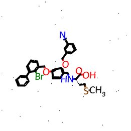 CSCC[C@H](NCc1ccc(OCc2cccc(-c3ccccc3)c2Br)cc1OCc1cccc(C#N)c1)C(=O)O